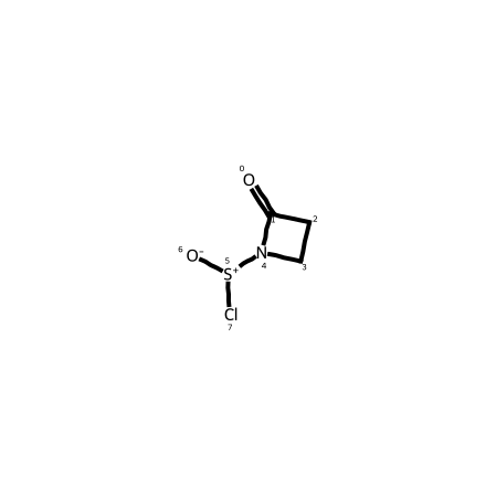 O=C1CCN1[S+]([O-])Cl